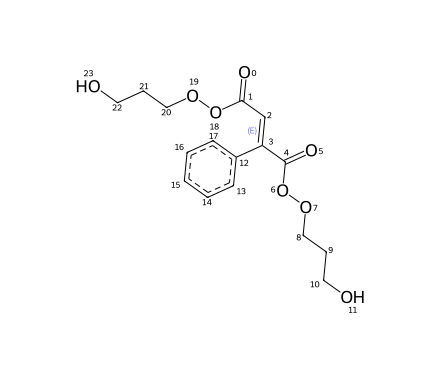 O=C(/C=C(/C(=O)OOCCCO)c1ccccc1)OOCCCO